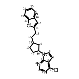 Clc1ncnc2c1ccn2C1CCC(CCc2cc3ncccc3o2)C1